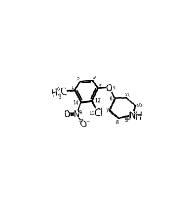 Cc1ccc(OC2CCNCC2)c(Cl)c1[N+](=O)[O-]